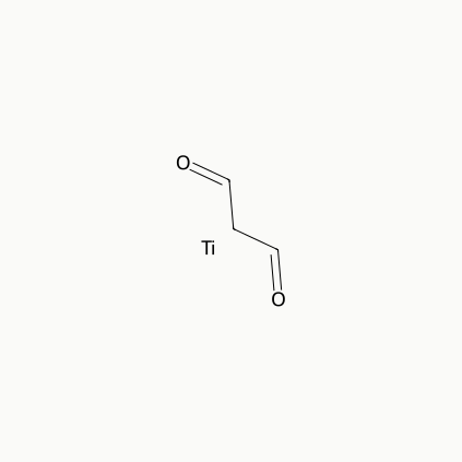 O=CCC=O.[Ti]